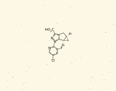 O=C(O)c1nn(-c2ncc(Cl)cc2F)c2c1C[C@H]1C[C@@H]21